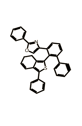 c1cccc(-c2cccc(-c3coc(-c4ccccc4)n3)c2-c2sc(-c3ccccc3)c3c2CCC=C3)c#1